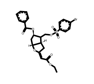 CCOC(=O)/C=C1\C[C@@H]2C(COS(=O)(=O)c3ccc(Br)cc3)[C@H](OC(=O)c3ccccc3)C[C@@H]2O1